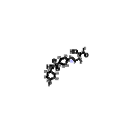 CC(=O)N(O)C(C)/C=C/c1ccc(S(=O)(=O)Nc2ccc(F)cc2)cc1